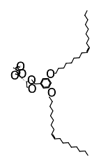 CCCCCCCC/C=C\CCCCCCCCOc1cc(OCCCCCCCC/C=C\CCCCCCCC)cc(C2OC[C@H](COS(C)(=O)=O)O2)c1